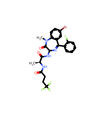 C[C@H](NC(=O)CCC(F)(F)F)C(=O)NC1N=C(c2ccccc2F)c2cc(Br)ccc2N(C)C1=O